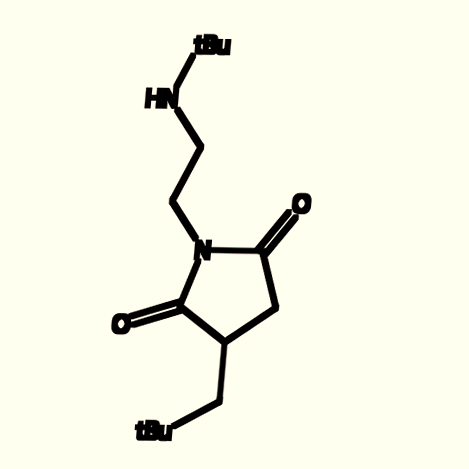 CC(C)(C)CC1CC(=O)N(CCNC(C)(C)C)C1=O